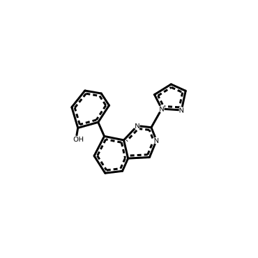 Oc1ccccc1-c1cccc2cnc(-n3cccn3)nc12